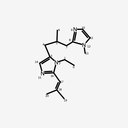 CCn1c(CC(C)Cc2nccn2C)cnc1C=C(C)C